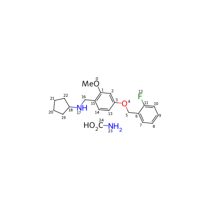 COc1cc(OCc2ccccc2F)ccc1CNC1CCCC1.NC(=O)O